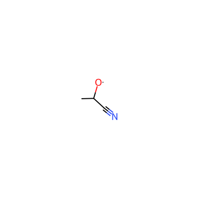 CC([O])C#N